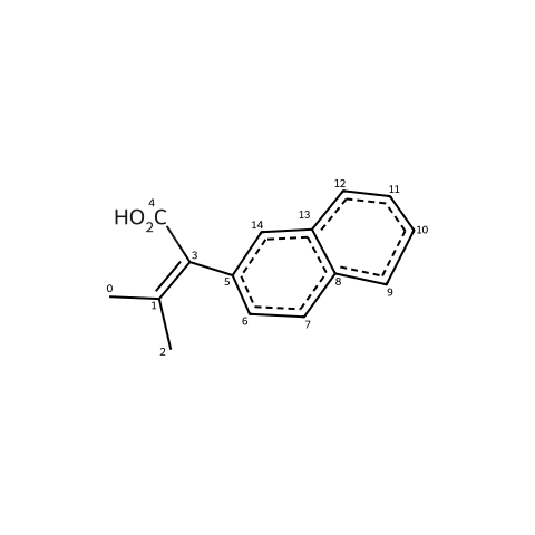 CC(C)=C(C(=O)O)c1ccc2ccccc2c1